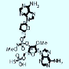 COSP(=O)(OC[C@@H]1CC[C@H](n2cnc3c(N)ncnc32)O1)O[C@H]1[C@@H](OC)[C@H](n2cnc3c(N)ncnc32)O[C@@H]1COP(=O)(O)S